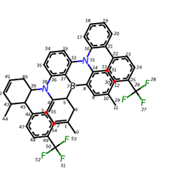 CC1=CC=C2C(C1)B1c3cc(C)ccc3N(c3ccccc3-c3ccc(C(F)(F)F)cc3)c3cccc(c31)N2C1CC=CC(C)C1c1ccc(C(F)(F)F)cc1